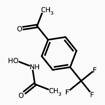 CC(=O)NO.CC(=O)c1ccc(C(F)(F)F)cc1